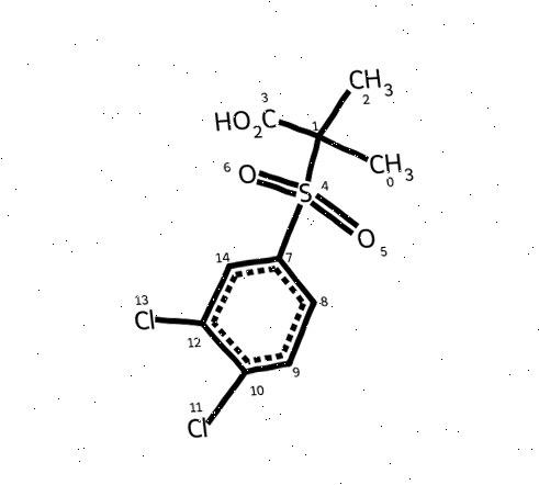 CC(C)(C(=O)O)S(=O)(=O)c1ccc(Cl)c(Cl)c1